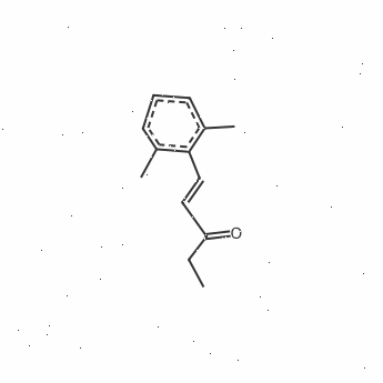 CCC(=O)/C=C/c1c(C)cccc1C